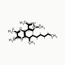 CCCCCCC(C)c1nc(N)c(C)nc1-c1cn(C)nc1C